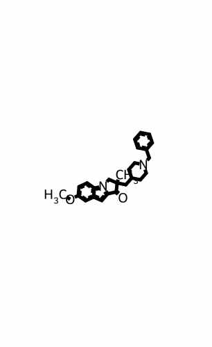 COc1ccc2c(c1)cc1n2CC(C)(CC2CCN(Cc3ccccc3)CC2)C1=O